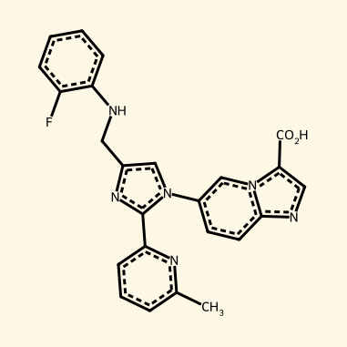 Cc1cccc(-c2nc(CNc3ccccc3F)cn2-c2ccc3ncc(C(=O)O)n3c2)n1